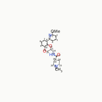 COc1cccc(-c2cccc3c2OC(CNC(=O)C2CCN(C)CC2)CO3)n1